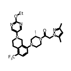 CCOc1ncc(N2CCc3c(C(F)(F)F)ccc(N4CCN(C(=O)Cn5nc(C)cc5C)[C@@H](C)C4)c3C2)cn1